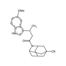 COc1ccc2[nH]cc(C(C)CC(=O)N3C4CC5CC3CC(C#N)(C5)C4)c2c1